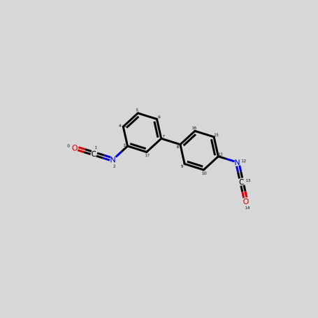 O=C=Nc1[c]ccc(-c2ccc(N=C=O)cc2)c1